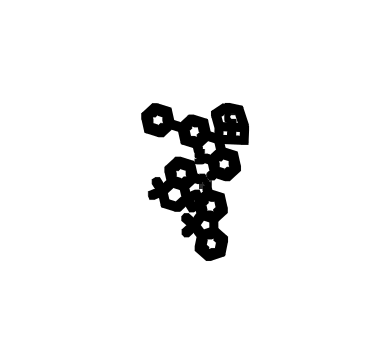 CC1(C)CCC(C)(C)c2c(N(c3ccc4c(c3)C(C)(C)c3ccccc3-4)c3cccc4c3Sc3cc(-c5ccccc5)ccc3C43C4CC5CC6CC3C64C5)cccc21